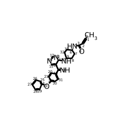 CC#CC(=O)N[C@H]1CC[C@H](Nc2ncncc2C(=N)c2ccc(Oc3ccccc3)cc2)CC1